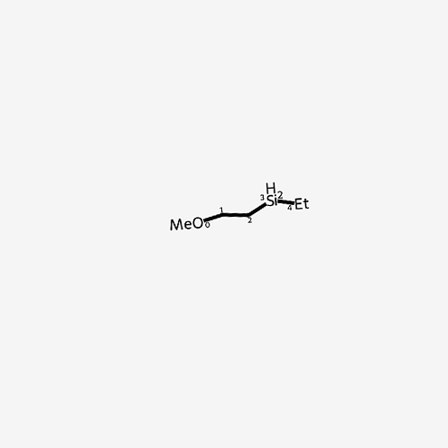 [CH2]OCC[SiH2]CC